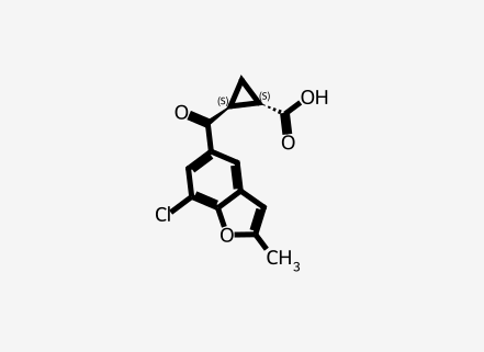 Cc1cc2cc(C(=O)[C@H]3C[C@@H]3C(=O)O)cc(Cl)c2o1